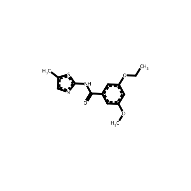 CCOc1cc(OC)cc(C(=O)Nc2ncc(C)s2)c1